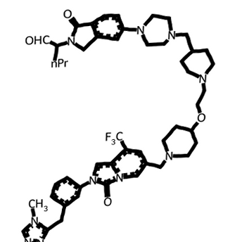 CCCC(C=O)N1Cc2cc(N3CCN(CC4CCN(CCOC5CCN(Cc6cc(C(F)(F)F)c7cn(-c8cccc(Cc9nncn9C)c8)c(=O)n7c6)CC5)CC4)CC3)ccc2C1=O